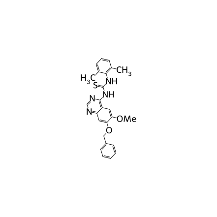 COc1cc2c(NC(=S)Nc3c(C)cccc3C)ncnc2cc1OCc1ccccc1